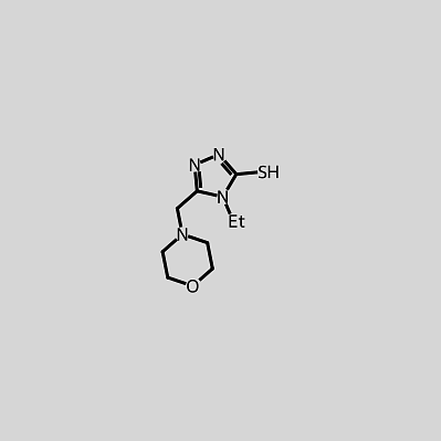 CCn1c(S)nnc1CN1CCOCC1